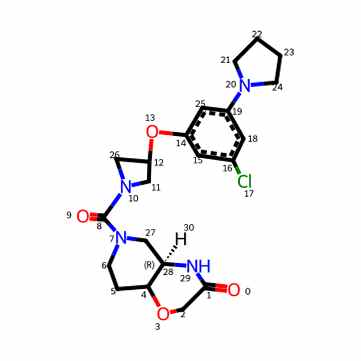 O=C1COC2CCN(C(=O)N3CC(Oc4cc(Cl)cc(N5CCCC5)c4)C3)C[C@H]2N1